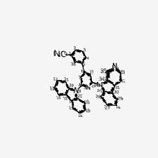 N#Cc1cccc(-c2cc(-n3c4ccccc4c4ccccc43)nc(-n3c4ccccc4c4ccncc43)c2)c1